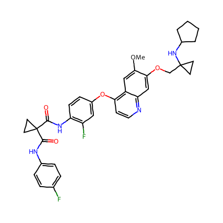 COc1cc2c(Oc3ccc(NC(=O)C4(C(=O)Nc5ccc(F)cc5)CC4)c(F)c3)ccnc2cc1OCC1(NC2CCCC2)CC1